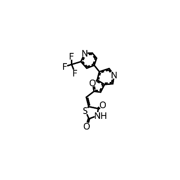 O=C1NC(=O)/C(=C\c2cc3cncc(-c4ccnc(C(F)(F)F)c4)c3o2)S1